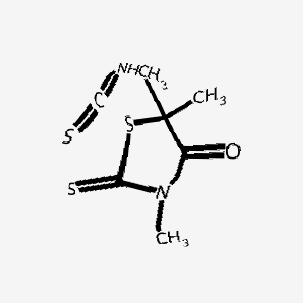 CN1C(=O)C(C)(C)SC1=S.N=C=S